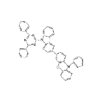 c1ccc(-c2nc(-c3ccccc3)nc(-n3c4ccccc4c4cc(-c5ccc6c(c5)Oc5ccccc5N6c5ccccc5)ccc43)n2)cc1